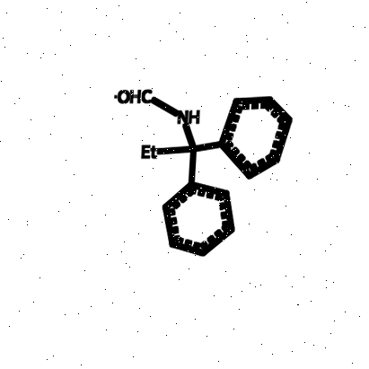 CCC(N[C]=O)(c1ccccc1)c1ccccc1